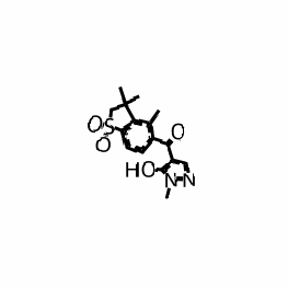 Cc1c(C(=O)c2cnn(C)c2O)ccc2c1C(C)(C)CS2(=O)=O